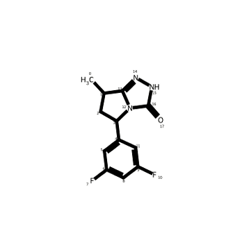 CC1CC(c2cc(F)cc(F)c2)n2c1n[nH]c2=O